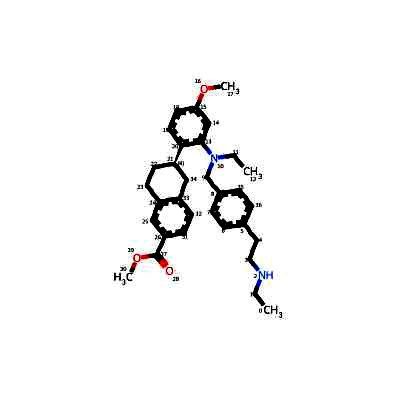 CCNCCc1ccc(CN(CC)c2cc(OC)ccc2[C@@H]2CCc3cc(C(=O)OC)ccc3C2)cc1